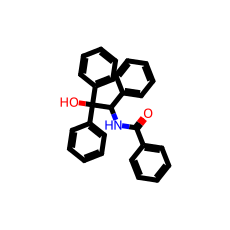 O=C(NC(c1ccccc1)C(O)(c1ccccc1)c1ccccc1)c1ccccc1